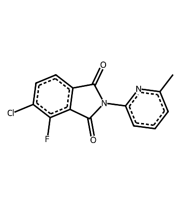 Cc1cccc(N2C(=O)c3ccc(Cl)c(F)c3C2=O)n1